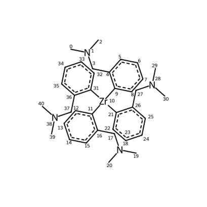 CN(C)Cc1cccc[c]1[Zr]([c]1ccccc1CN(C)C)([c]1ccccc1CN(C)C)[c]1ccccc1CN(C)C